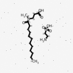 CCCCCCCCCCCC(=O)N(C)CCC(=O)O.NCCS(=O)(=O)O